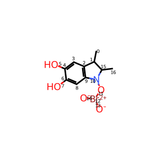 CC1c2cc(O)c(O)cc2N(O[Br+2]([O-])[O-])C1C